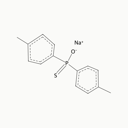 Cc1ccc(P([O-])(=S)c2ccc(C)cc2)cc1.[Na+]